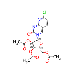 CC(=O)OC[C@H]1O[C@@H](n2cc3ccc(Cl)nc3nc2=O)[C@H](OC(C)=O)[C@@H]1OC(C)=O